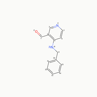 O=Cc1cnccc1NCc1ccccc1